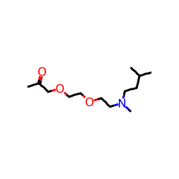 CC(=O)COCCOCCN(C)CCC(C)C